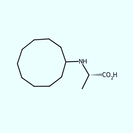 C[C@H](NC1CCCCCCCCC1)C(=O)O